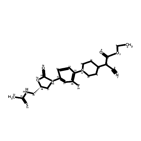 CCOC(=O)C(C#N)C1CCN(c2ccc(N3C[C@H](CNC(C)=S)OC3=O)cc2F)CC1